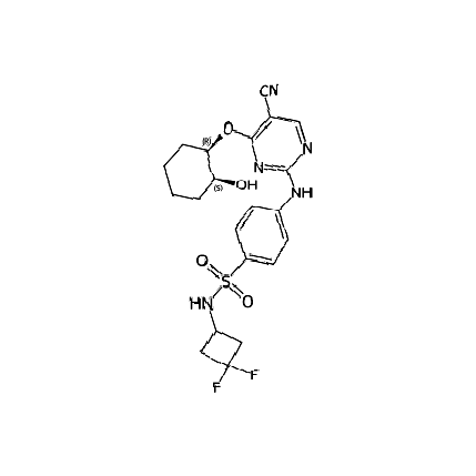 N#Cc1cnc(Nc2ccc(S(=O)(=O)NC3CC(F)(F)C3)cc2)nc1O[C@@H]1CCCC[C@@H]1O